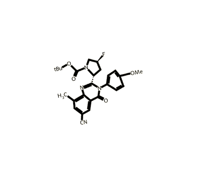 COc1ccc(-n2c([C@H]3C[C@H](F)CN3C(=O)OC(C)(C)C)nc3c(C)cc(C#N)cc3c2=O)cc1